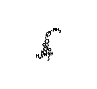 CCC[C@@H](C)Nc1nc(N)nc2ccn(Cc3ccc(CN4CCN(CCN)CC4)cc3OC)c(=O)c12